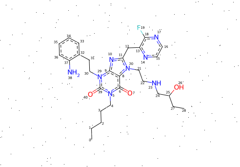 CCCCCn1c(=O)c2c(nc(Cc3nccnc3F)n2CCNCC(O)CC)n(CCc2ccccc2N)c1=O